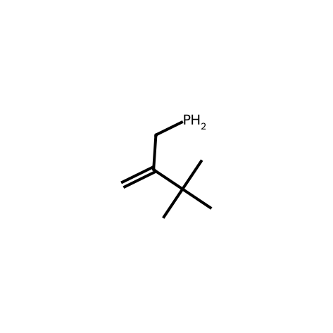 C=C(CP)C(C)(C)C